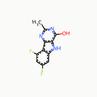 Cc1nc(O)c2[nH]c3cc(F)cc(F)c3c2n1